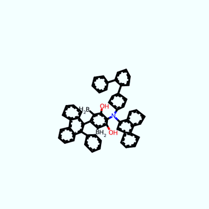 Bc1c(O)c(N(c2ccc(-c3ccccc3-c3ccccc3)cc2)c2cc3ccccc3c3ccccc23)c(O)c(B)c1-c1c(-c2ccccc2)c2ccccc2c2ccccc12